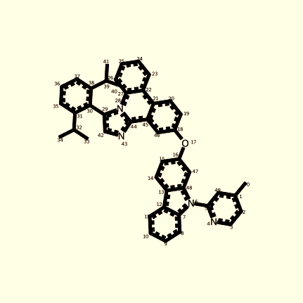 Cc1ccnc(-n2c3ccccc3c3ccc(Oc4ccc5c6ccccc6n6c(-c7c(C(C)C)cccc7C(C)C)cnc6c5c4)cc32)c1